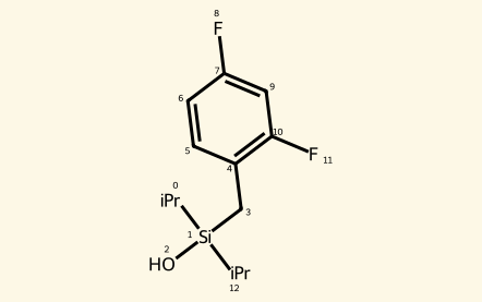 CC(C)[Si](O)(Cc1ccc(F)cc1F)C(C)C